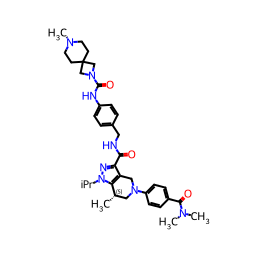 CC(C)n1nc(C(=O)NCc2ccc(NC(=O)N3CC4(CCN(C)CC4)C3)cc2)c2c1[C@@H](C)CN(c1ccc(C(=O)N(C)C)cc1)C2